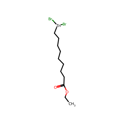 CCOC(=O)CCCCCCC[CH2][Zn]([Br])[Br]